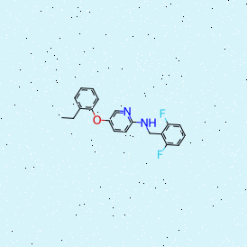 CCc1ccccc1Oc1ccc(NCc2c(F)cccc2F)nc1